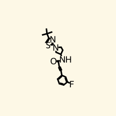 CC(C)(C)c1csc(N2CCC(NC(=O)C#Cc3cccc(F)c3)C2)n1